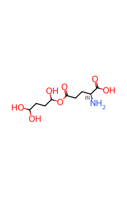 N[C@@H](CCC(=O)OC(O)CCC(O)O)C(=O)O